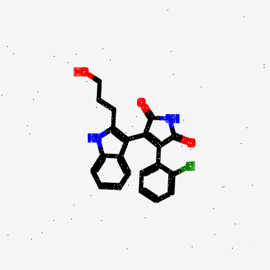 O=C1NC(=O)C(c2c(CCCO)[nH]c3ccccc23)=C1c1ccccc1Cl